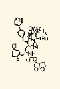 COC(=O)N(C)C(C(=O)NC(Cc1ccc(-c2cccnc2)cc1)C(O)CN(Cc1cc(Cl)ccc1F)NC(=O)OC1COC2OCCC12)C(C)(C)C